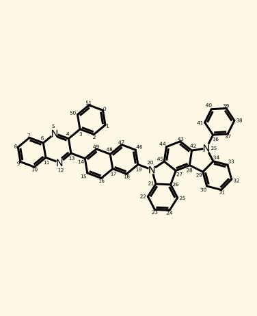 c1ccc(-c2nc3ccccc3nc2-c2ccc3cc(-n4c5ccccc5c5c6c7ccccc7n(-c7ccccc7)c6ccc54)ccc3c2)cc1